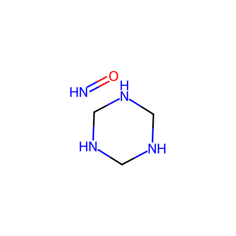 C1NCNCN1.N=O